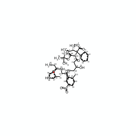 CC[C@H](C)[C@](C(=O)O)(c1ccccc1)N(C(=O)CC(O)[C@H](Cc1ccc([N+](=O)[O-])cc1)NC(=O)[C@H](Cc1c[nH]cn1)NC(=O)CN)C(=O)OC(C)(C)C